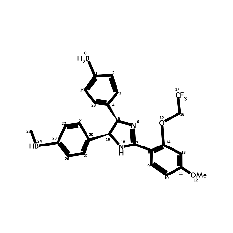 Bc1ccc([C@H]2N=C(c3ccc(OC)cc3OCC(F)(F)F)N[C@H]2c2ccc(BC)cc2)cc1